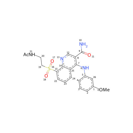 COc1cccc(Nc2c(C(N)=O)cnc3c(S(=O)(=O)CCNC(C)=O)cccc23)c1